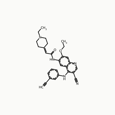 C#Cc1cccc(Nc2c(C#N)cnc3cc(OCC)c(NC(=O)C=C4CCN(CC)CC4)cc23)c1